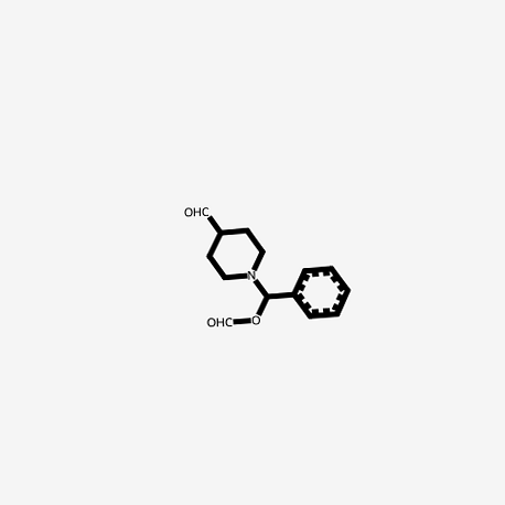 O=COC(c1ccccc1)N1CCC(C=O)CC1